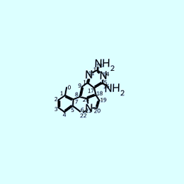 Cc1cccc(C)c1-c1cc2nc(N)nc(N)c2c2ccn(C)c12